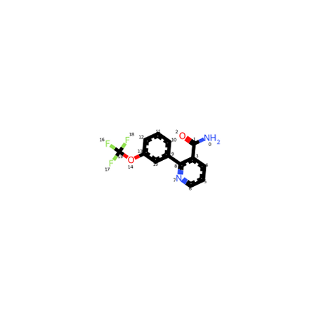 NC(=O)c1cccnc1-c1cccc(OC(F)(F)F)c1